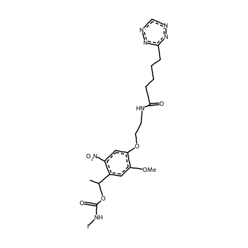 COc1cc(C(C)OC(=O)NI)c([N+](=O)[O-])cc1OCCNC(=O)CCCCc1nncnn1